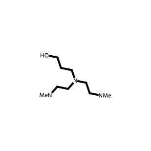 CNCCN(CCCO)CCNC